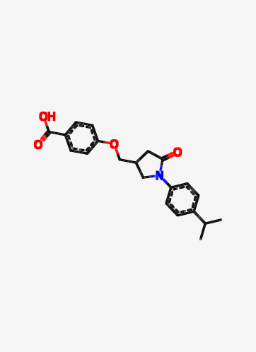 CC(C)c1ccc(N2CC(COc3ccc(C(=O)O)cc3)CC2=O)cc1